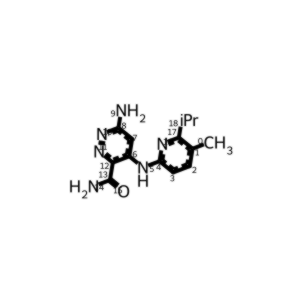 Cc1ccc(Nc2cc(N)nnc2C(N)=O)nc1C(C)C